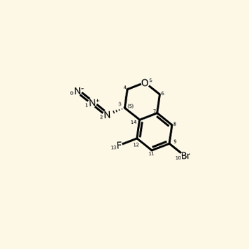 [N-]=[N+]=N[C@@H]1COCc2cc(Br)cc(F)c21